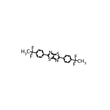 CC(F)(F)c1ccc(-c2nc3sc(-c4ccc(C(C)(F)F)cc4)nc3s2)cc1